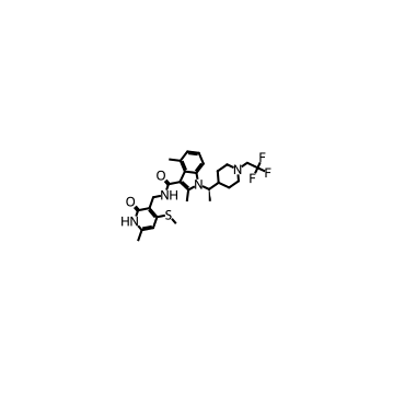 CSc1cc(C)[nH]c(=O)c1CNC(=O)c1c(C)n([C@H](C)C2CCN(CC(F)(F)F)CC2)c2cccc(C)c12